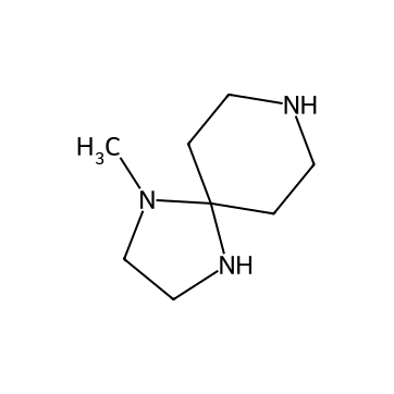 CN1CCNC12CCNCC2